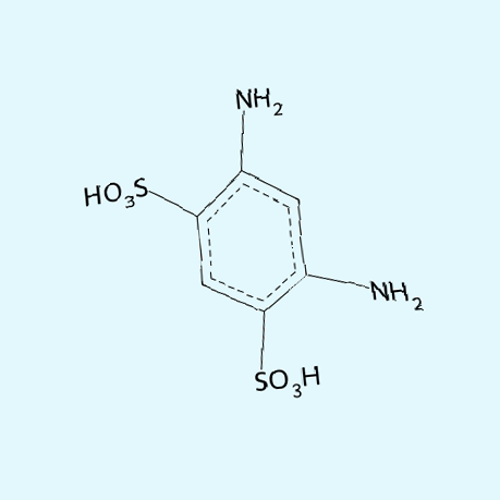 Nc1cc(N)c(S(=O)(=O)O)cc1S(=O)(=O)O